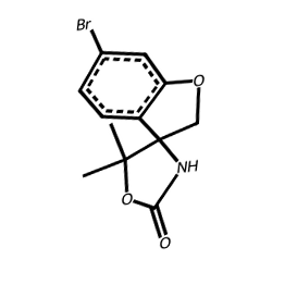 CC1(C)OC(=O)NC12COc1cc(Br)ccc12